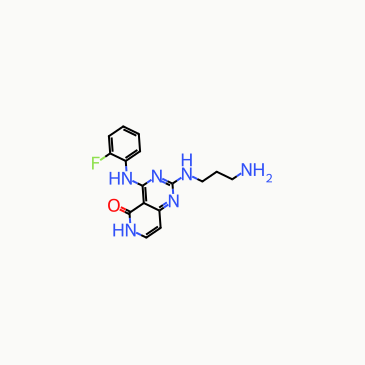 NCCCNc1nc(Nc2ccccc2F)c2c(=O)[nH]ccc2n1